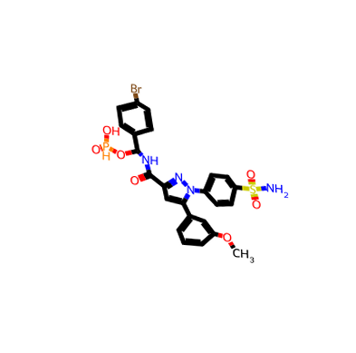 COc1cccc(-c2cc(C(=O)NC(O[PH](=O)O)c3ccc(Br)cc3)nn2-c2ccc(S(N)(=O)=O)cc2)c1